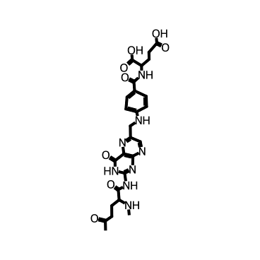 CNC(CCC(C)=O)C(=O)Nc1nc2ncc(CNc3ccc(C(=O)NC(CCC(=O)O)C(=O)O)cc3)nc2c(=O)[nH]1